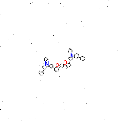 c1ccc(-c2ccc3c(c2)c2cc(-c4cccc5c4oc4cc6oc7c(-c8ccc9c(c8)c8cc(-c%10ccccc%10)ccc8n9-c8ccccc8)cccc7c6cc45)ccc2n3-c2ccccc2)cc1